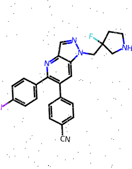 N#Cc1ccc(-c2cc3c(cnn3CC3(F)CCNC3)nc2-c2ccc(I)cc2)cc1